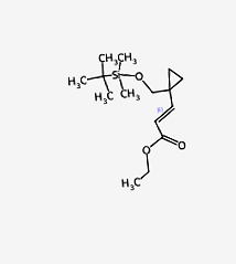 CCOC(=O)/C=C/C1(CO[Si](C)(C)C(C)(C)C)CC1